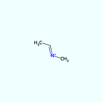 CC=[N+]C